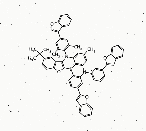 Cc1cc2c3c(c1)N(c1c(C)cc(-c4coc5ccccc45)cc1C)c1c(oc4ccc(C(C)(C)C)cc14)B3c1ccc(-c3cc4ccccc4o3)cc1N2c1cccc(-c2cc3ccccc3o2)c1